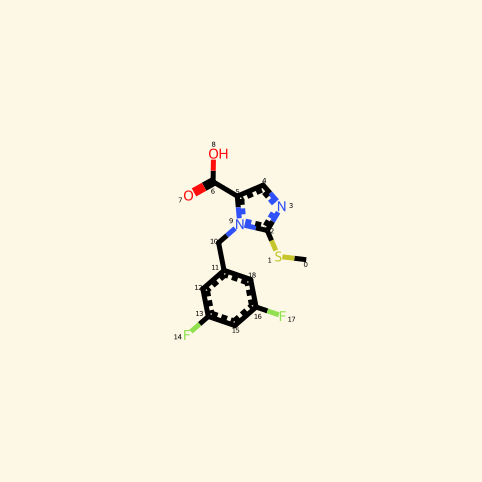 CSc1ncc(C(=O)O)n1Cc1cc(F)cc(F)c1